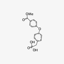 COC(=O)c1ccc(Oc2ccc(CP(=O)(O)O)cc2)cc1